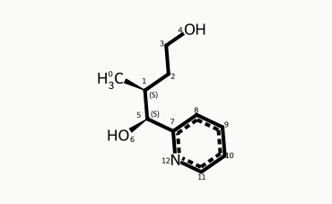 C[C@@H](CCO)[C@H](O)c1ccccn1